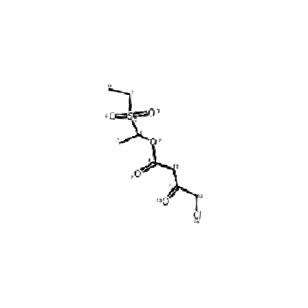 CCS(=O)(=O)C(C)OC(=O)CC(=O)CCl